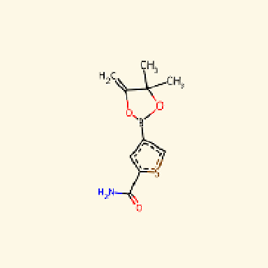 C=C1OB(c2csc(C(N)=O)c2)OC1(C)C